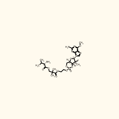 COc1nc(N)nc2c1ncn2[C@@H]1O[C@@H]2COP(=O)(OCCSC(=O)C(C)(C)COC(=O)[C@@H](N)C(C)C)O[C@H]2[C@@]1(C)F